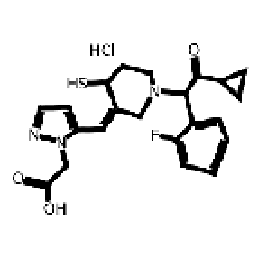 Cl.O=C(O)Cn1nccc1/C=C1/CN(C(C(=O)C2CC2)c2ccccc2F)CCC1S